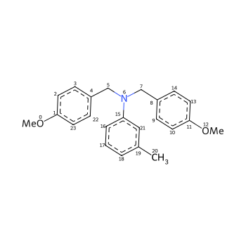 COc1ccc(CN(Cc2ccc(OC)cc2)c2cccc(C)c2)cc1